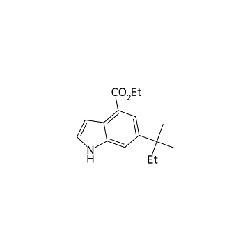 CCOC(=O)c1cc(C(C)(C)CC)cc2[nH]ccc12